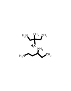 CC(C)(CN)CN.CCC(N)CCN